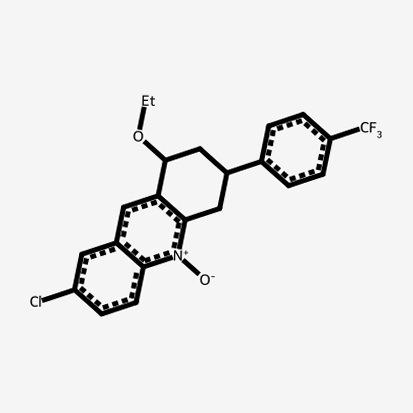 CCOC1CC(c2ccc(C(F)(F)F)cc2)Cc2c1cc1cc(Cl)ccc1[n+]2[O-]